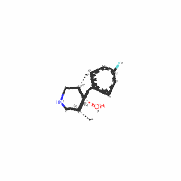 C[C@@H]1CNC[C@H](C)[C@@]1(O)c1ccc(F)cc1